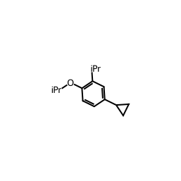 [CH2]C(C)c1cc(C2CC2)ccc1OC(C)C